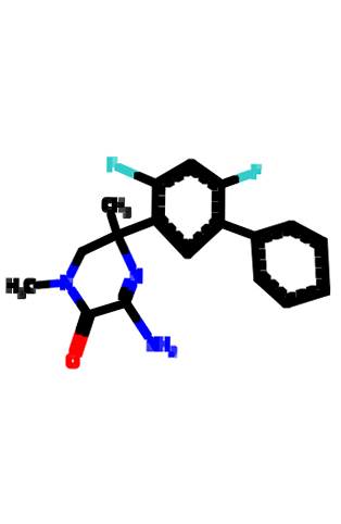 CN1CC(C)(c2cc(-c3ccccc3)c(F)cc2F)N=C(N)C1=O